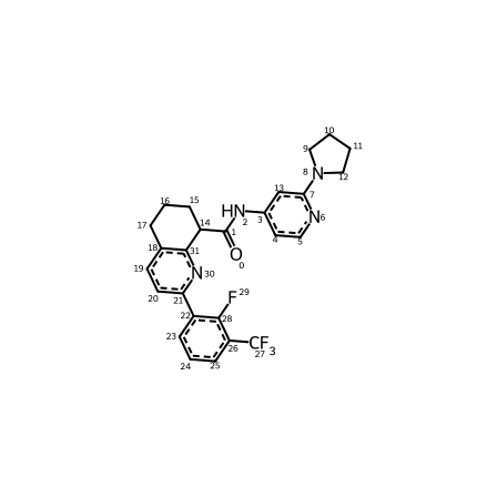 O=C(Nc1ccnc(N2CCCC2)c1)C1CCCc2ccc(-c3cccc(C(F)(F)F)c3F)nc21